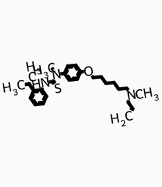 C=CCN(C)CCCCCCOc1ccc(N(C)C(=S)Nc2ccccc2C(C)C)cc1